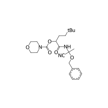 CC(C)(C)CCC(OC(=O)N1CCOCC1)C(=O)NC(C)(C#N)OCc1ccccc1